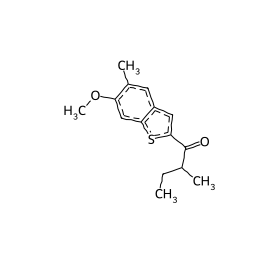 CCC(C)C(=O)c1cc2cc(C)c(OC)cc2s1